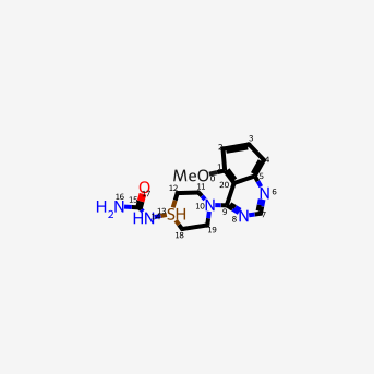 COc1cccc2ncnc(N3CC[SH](NC(N)=O)CC3)c12